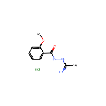 CCCC(=N)NNC(=O)c1ccccc1OCC.Cl